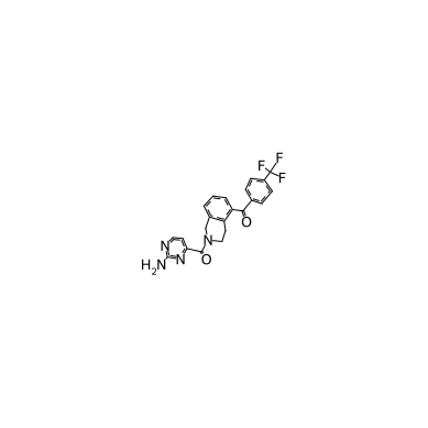 Nc1nccc(C(=O)N2CCc3c(cccc3C(=O)c3ccc(C(F)(F)F)cc3)C2)n1